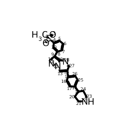 CS(=O)(=O)c1cccc(-c2cnn3cc(-c4ccc(C5CCNCC5)cc4)cnc23)c1